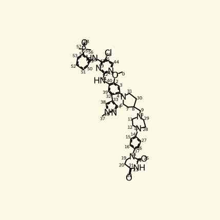 COc1cc(N2CCC(CN3CCN(c4ccc(N5CCC(=O)NC5=O)cc4)CC3)CC2)c(-c2cnn(C)c2)cc1Nc1ncc(Cl)c(Nc2ccccc2P(C)(C)=O)n1